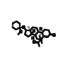 COC1(OC2CC[C@H]3[C@@H]4CC(C)C5=CC(=O)CC[C@]5(COC(C)=O)[C@@H]4CC[C@]23C)CCCCC1